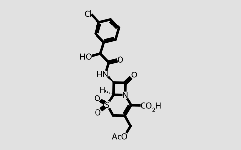 CC(=O)OCC1=C(C(=O)O)N2C(=O)[C@H](NC(=O)C(O)c3cccc(Cl)c3)[C@@H]2S(=O)(=O)C1